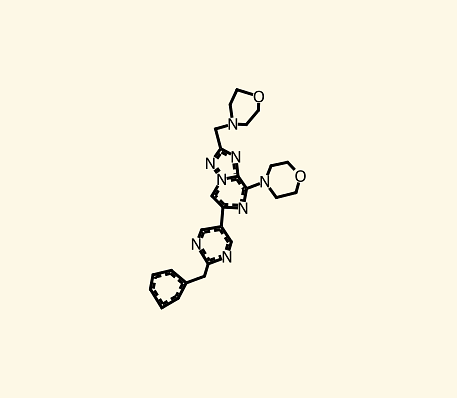 c1ccc(Cc2ncc(-c3cn4nc(CN5CCOCC5)nc4c(N4CCOCC4)n3)cn2)cc1